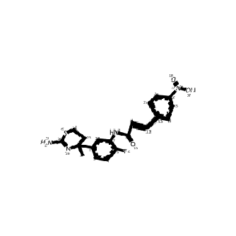 CC1(c2ccc(F)c(NC(=O)/C=C/c3ccc([N+](=O)O)cc3)c2)CCSC(N)=N1